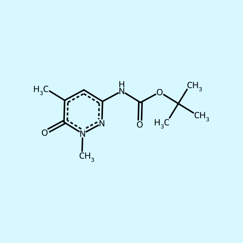 Cc1cc(NC(=O)OC(C)(C)C)nn(C)c1=O